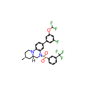 C[C@H]1CCN2c3ccc(-c4cc(F)cc(OC(F)F)c4)cc3N(S(=O)(=O)c3cccc(C(F)(F)F)c3)C[C@@H]2C1